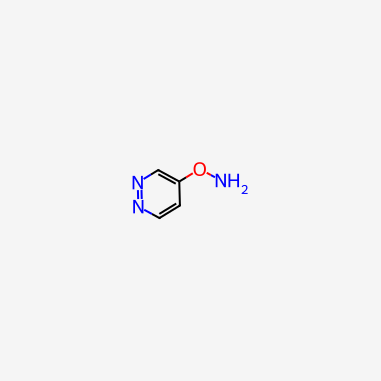 NOc1ccnnc1